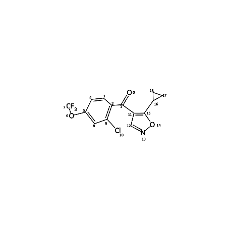 O=C(c1ccc(OC(F)(F)F)cc1Cl)c1cnoc1C1CC1